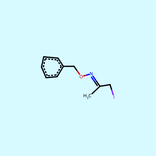 C/C(CI)=N\OCc1ccccc1